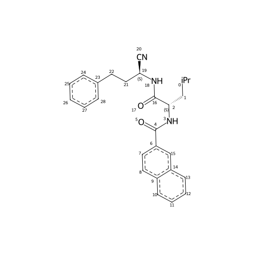 CC(C)C[C@H](NC(=O)c1ccc2ccccc2c1)C(=O)N[C@H](C#N)CCc1ccccc1